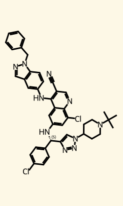 CC(C)(C)N1CCC(n2cc([C@@H](Nc3cc(Cl)c4ncc(C#N)c(Nc5ccc6c(cnn6Cc6ccccc6)c5)c4c3)c3ccc(Cl)cc3)nn2)CC1